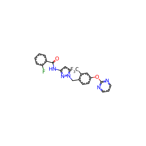 O=C(Nc1ccn(Cc2ccc(Oc3ncccn3)cc2C(F)(F)F)n1)c1ccccc1F